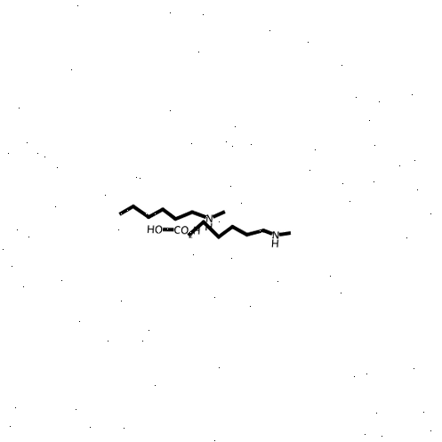 CCCCCCNC.CCCCCCNC.O=C(O)O